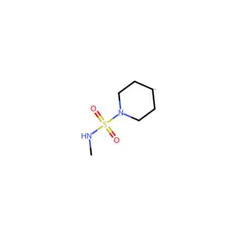 CNS(=O)(=O)N1CC[CH]CC1